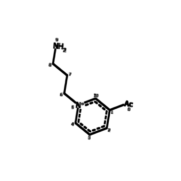 CC(=O)c1ccc[n+](CCCN)c1